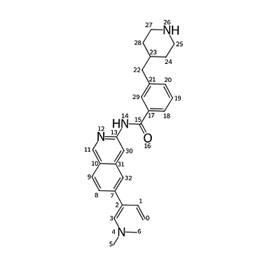 C=C/C(=C\N(C)C)c1ccc2cnc(NC(=O)c3cccc(CC4CCNCC4)c3)cc2c1